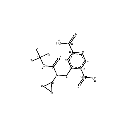 CC(C)(C)OC(=O)N(Cc1cc(C(=O)O)ccc1[N+](=O)[O-])C1CC1